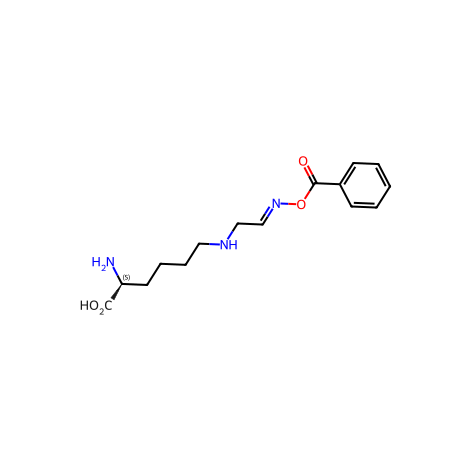 N[C@@H](CCCCNCC=NOC(=O)c1ccccc1)C(=O)O